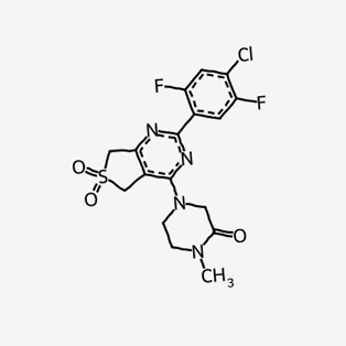 CN1CCN(c2nc(-c3cc(F)c(Cl)cc3F)nc3c2CS(=O)(=O)C3)CC1=O